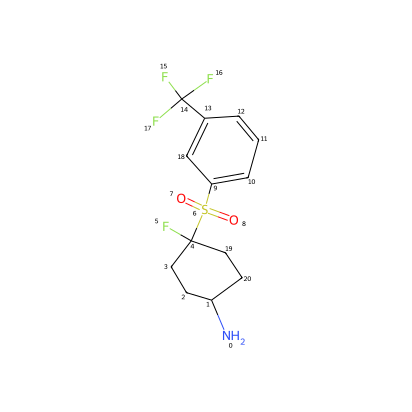 NC1CCC(F)(S(=O)(=O)c2cccc(C(F)(F)F)c2)CC1